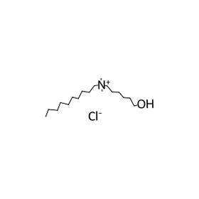 CCCCCCCCCC[N+](C)(C)CCCCCCO.[Cl-]